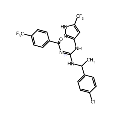 CC(N/C(=N/C(=O)c1ccc(C(F)(F)F)cc1)Nc1cc(C(F)(F)F)[nH]n1)c1ccc(Cl)cc1